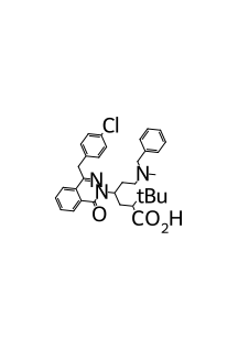 CN(CCC(CC(C(=O)O)C(C)(C)C)n1nc(Cc2ccc(Cl)cc2)c2ccccc2c1=O)Cc1ccccc1